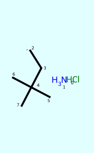 Cl.N.[CH2]CC(C)(C)C